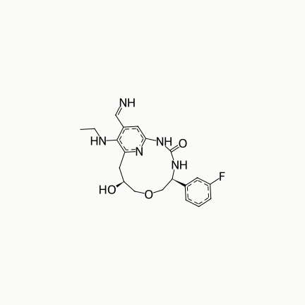 CCNc1c(C=N)cc2nc1C[C@H](O)COC[C@H](c1cccc(F)c1)NC(=O)N2